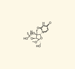 CO[C@]1(CO)O[C@@H](n2ccc(=O)[nH]c2=O)[C@@](O)(F)[C@@H]1OP(O)(O)=S